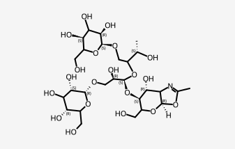 CC1=NC2[C@@H](O1)OC(CO)[C@@H](O[C@H](OC(CO[C@H]1OC(CO)[C@@H](O)C(O)[C@H]1O)[C@H](C)O)[C@H](O)CO[C@@H]1OC(CO)[C@H](O)C(O)[C@@H]1O)[C@@H]2O